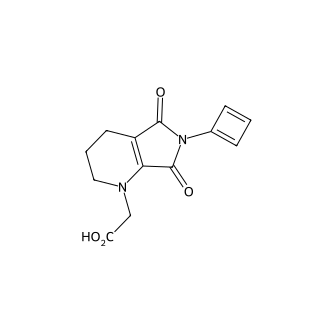 O=C(O)CN1CCCC2=C1C(=O)N(C1=CC=C1)C2=O